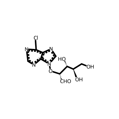 O=C[C@H](On1cnc2c(Cl)ncnc21)[C@H](O)[C@H](O)CO